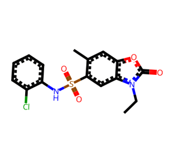 CCn1c(=O)oc2cc(C)c(S(=O)(=O)Nc3ccccc3Cl)cc21